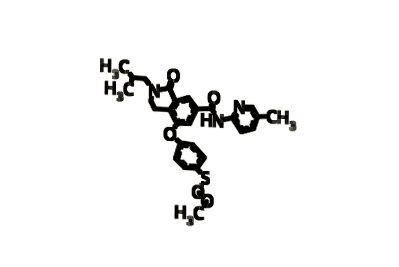 COOSc1ccc(Oc2cc(C(=O)Nc3ccc(C)cn3)cc3c2CCN(CC(C)C)C3=O)cc1